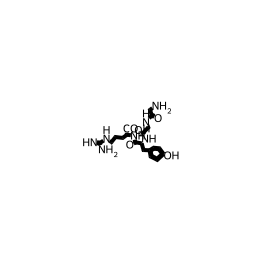 N=C(N)NCCCC(NC(=O)C(Cc1ccc(O)cc1)NC(=O)CNC(=O)CN)C(=O)O